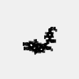 COc1ccc(C(O)CCC[C@@H](C)[C@H]2CC[C@H]3C4=C(F)C[C@H]5[C@@H](O)[C@@H](O)CC[C@]5(C)[C@H]4CC[C@]23C)c(F)c1